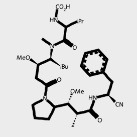 CC[C@H](C)[C@@H]([C@@H](CC(=O)N1CCCC1[C@H](OC)[C@@H](C)C(=O)N[C@H](C#N)Cc1ccccc1)OC)N(C)C(=O)C(NC(=O)O)C(C)C